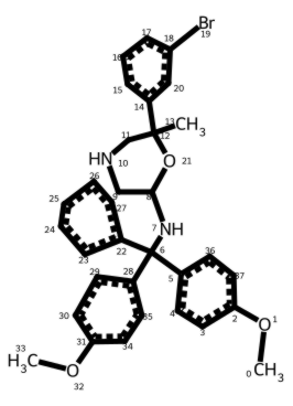 COc1ccc(C(NC2CNCC(C)(c3cccc(Br)c3)O2)(c2ccccc2)c2ccc(OC)cc2)cc1